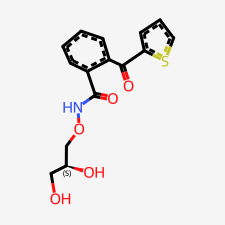 O=C(NOC[C@@H](O)CO)c1ccccc1C(=O)c1cccs1